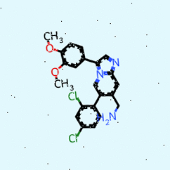 COc1ccc(-c2cnc3cc(CN)c(-c4ccc(Cl)cc4Cl)cn23)cc1OC